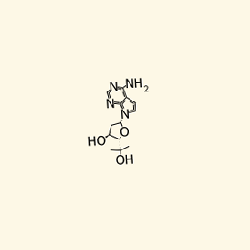 CC(C)(O)[C@H]1O[C@@H](n2ccc3c(N)ncnc32)C[C@@H]1O